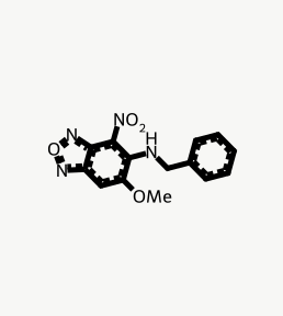 COc1cc2nonc2c([N+](=O)[O-])c1NCc1ccccc1